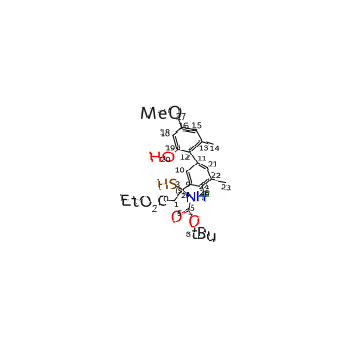 CCOC(=O)C[C@@](S)(NC(=O)OC(C)(C)C)c1cc(-c2c(C)cc(OC)cc2O)cc(C)c1F